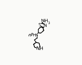 CCCN(CCC1CCNCC1)C1CCc2nc(N)sc2C1